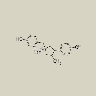 CC1CC(C)(Cc2ccc(O)cc2)CC1c1ccc(O)cc1